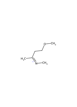 C/N=C(/C)CCOC